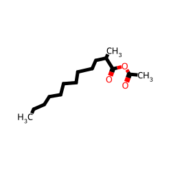 CCCCCCCCCCC(C)C(=O)OC(C)=O